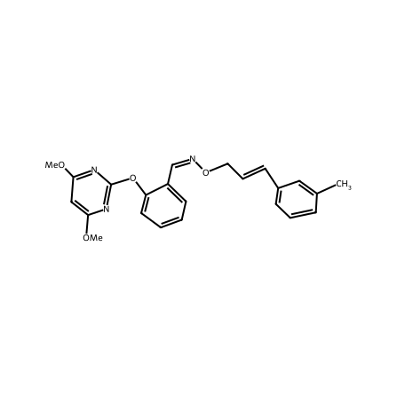 COc1cc(OC)nc(Oc2ccccc2/C=N\OC/C=C/c2cccc(C)c2)n1